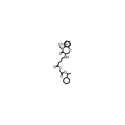 CC(OC(=O)COC(=O)CCCNC1COc2ccccc2N(CC(=O)O)C1=O)C1CCCCC1